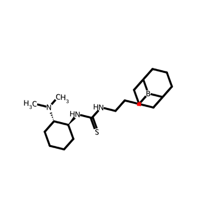 CN(C)[C@H]1CCCC[C@@H]1NC(=S)NCCCB1C2CCCC1CCC2